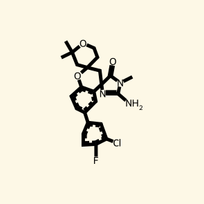 CN1C(=O)C2(CC3(CCOC(C)(C)C3)Oc3ccc(-c4ccc(F)c(Cl)c4)cc32)N=C1N